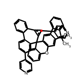 CC1(C)c2ccccc2-c2cc3c(cc21)Oc1ccccc1C31c2cc(-c3ccncc3)ccc2-c2ccccc2-c2ccc(-c3ccncc3)cc21